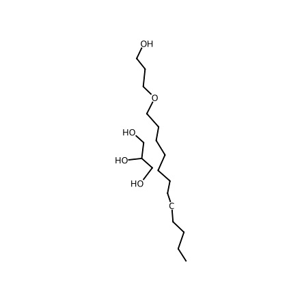 CCCCCCCCCCCCOCCCO.OCC(O)CO